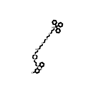 ClC1=CC2C(C=C1)Sc1ccccc1N2CCCN1CCN(CCNCCCOCCOCCOCCCNC(c2ccccc2)(c2ccccc2)c2ccccc2)CC1